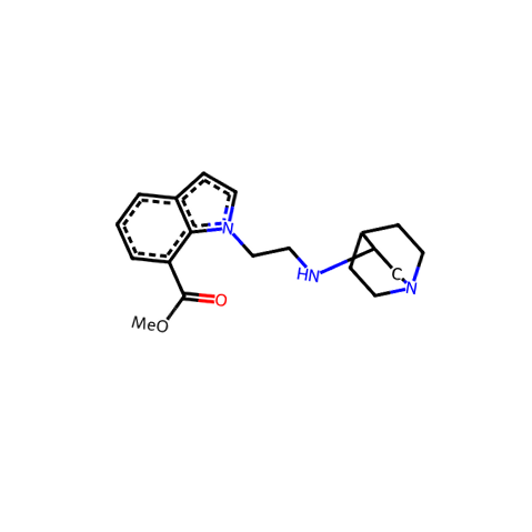 COC(=O)c1cccc2ccn(CCNC3CN4CCC3CC4)c12